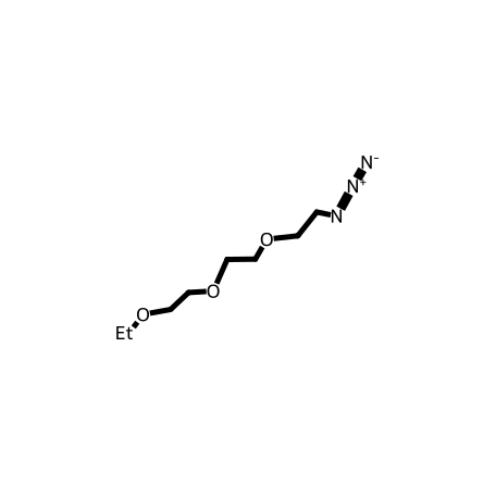 CCOCCOCCOCCN=[N+]=[N-]